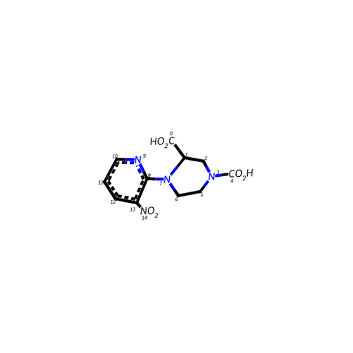 O=C(O)C1CN(C(=O)O)CCN1c1ncccc1[N+](=O)[O-]